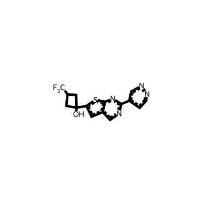 OC1(c2cc3cnc(-c4ccnnc4)nc3s2)CC(C(F)(F)F)C1